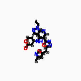 CCn1ncc2c(NC3CCOC(=O)C3)c(-c3nnc(Cc4cc(C)no4)o3)cnc21